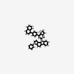 c1ccc(-n2ccc3c2ccc2c4ccccc4n(-c4nc(-c5ccc(-c6cccc7ccccc67)cc5)c5occc5n4)c23)cc1